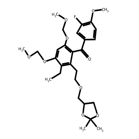 CCc1c(OCOC)cc(OCOC)c(C(=O)c2ccc(OC)c(F)c2)c1CCOCC1COC(C)(C)O1